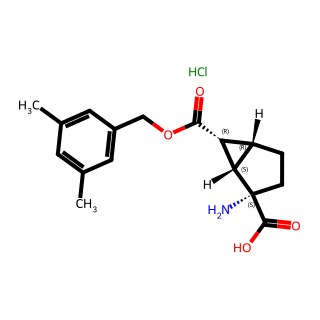 Cc1cc(C)cc(COC(=O)[C@@H]2[C@@H]3CC[C@@](N)(C(=O)O)[C@@H]32)c1.Cl